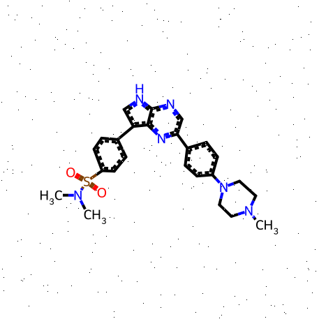 CN1CCN(c2ccc(-c3cnc4[nH]cc(-c5ccc(S(=O)(=O)N(C)C)cc5)c4n3)cc2)CC1